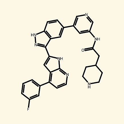 O=C(CC1CCNCC1)Nc1cncc(-c2ccc3[nH]nc(-c4cc5c(-c6cccc(F)c6)ccnc5[nH]4)c3c2)c1